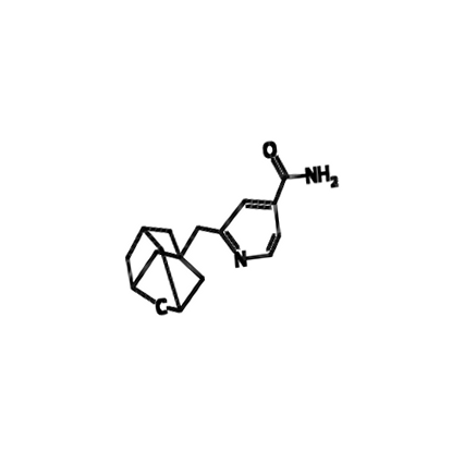 NC(=O)c1ccnc(CC23CC4CC(CC(C4)C2)C3)c1